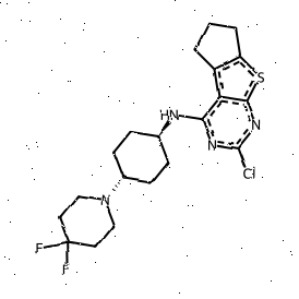 FC1(F)CCN([C@H]2CC[C@H](Nc3nc(Cl)nc4sc5c(c34)CCC5)CC2)CC1